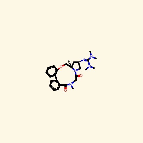 CN(C)C(=N[C@@H]1C[C@H]2COc3ccccc3-c3ccccc3C(=O)N(C)CC(=O)N2C1)N(C)C